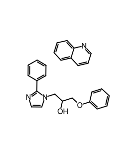 OC(COc1ccccc1)Cn1ccnc1-c1ccccc1.c1ccc2ncccc2c1